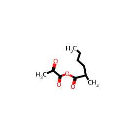 CCCCC(C)C(=O)OC(=O)C(C)=O